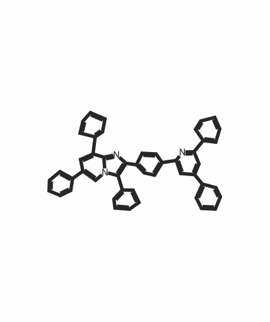 c1ccc(-c2cc(-c3ccccc3)nc(-c3ccc(-c4nc5c(-c6ccccc6)cc(-c6ccccc6)cn5c4-c4ccccc4)cc3)c2)cc1